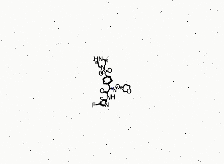 C[C@@H]1CN(S(=O)(=O)c2ccc(/C(=N\O[C@@H]3CCOC3)C(=O)Nc3ncc(F)s3)cc2)C[C@H](C)N1